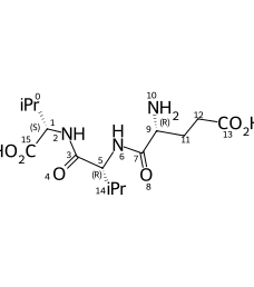 CC(C)[C@H](NC(=O)[C@H](NC(=O)[C@H](N)CCC(=O)O)C(C)C)C(=O)O